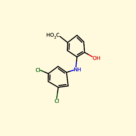 O=C(O)c1ccc(O)c(Nc2cc(Cl)cc(Cl)c2)c1